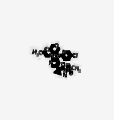 CC(C)CN(c1ncc(C2(C(=O)NS(C)(=O)=O)CC2)cc1Nc1ccc(Cl)cn1)C1CCOCC1